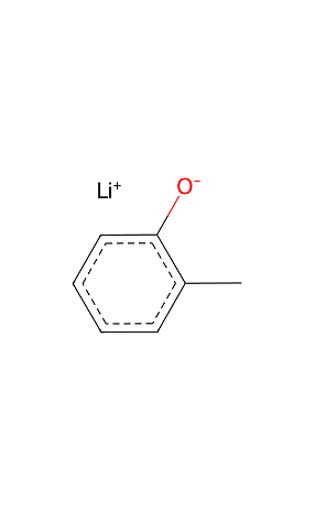 Cc1ccccc1[O-].[Li+]